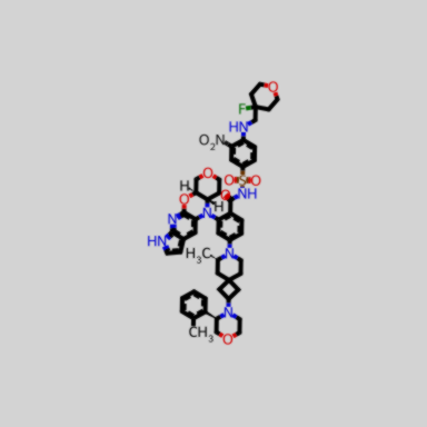 Cc1ccccc1[C@@H]1COCCN1C1CC2(CCN(c3ccc(C(=O)NS(=O)(=O)c4ccc(NCC5(F)CCOCC5)c([N+](=O)[O-])c4)c(N4c5cc6cc[nH]c6nc5O[C@H]5COCC[C@@H]54)c3)[C@@H](C)C2)C1